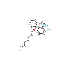 C=CC1(C2(OCCCCCCCC)CCCCC2)C=CC=C(F)C1(F)F